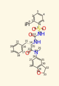 CC(C)c1ccccc1S(=O)(=O)NC(=O)N[C@@H](Cc1ccccc1)C(=O)N(C)c1ccc2c(c1)CCO2